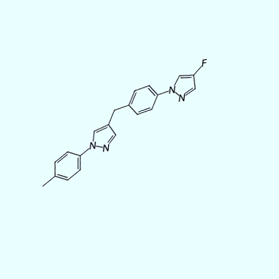 Cc1ccc(-n2cc(Cc3ccc(-n4cc(F)cn4)cc3)cn2)cc1